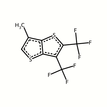 Cc1csc2c(C(F)(F)F)c(C(F)(F)F)sc12